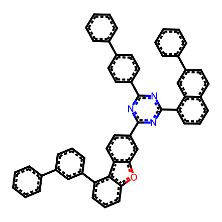 c1ccc(-c2ccc(-c3nc(-c4ccc5c(c4)oc4cccc(-c6cccc(-c7ccccc7)c6)c45)nc(-c4cccc5ccc(-c6ccccc6)cc45)n3)cc2)cc1